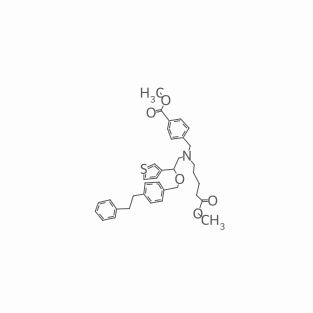 COC(=O)CCCCN(Cc1ccc(C(=O)OC)cc1)CC(OCc1ccc(CCc2ccccc2)cc1)c1ccsc1